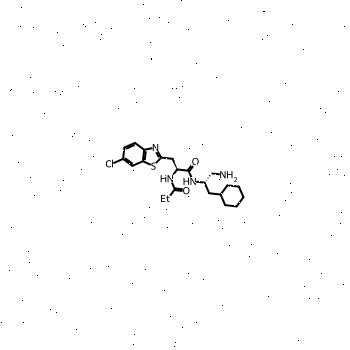 CCC(=O)N[C@@H](Cc1nc2ccc(Cl)cc2s1)C(=O)N[C@H](CN)CC1CCCCC1